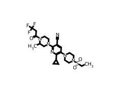 CCS(=O)(=O)N1CCN(c2cc(C#N)c(N3CCN(C(=O)CC(F)(F)F)C(C)C3)nc2C2CC2)CC1